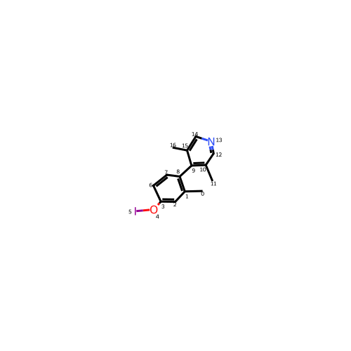 Cc1cc(OI)ccc1-c1c(C)cncc1C